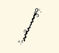 C=COC(=O)CCCCCCCCCCC(=O)CCCCCC